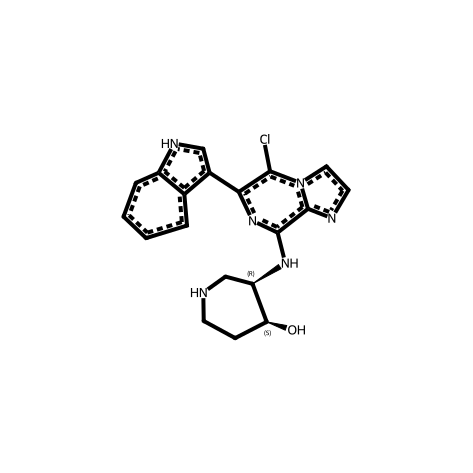 O[C@H]1CCNC[C@H]1Nc1nc(-c2c[nH]c3ccccc23)c(Cl)n2ccnc12